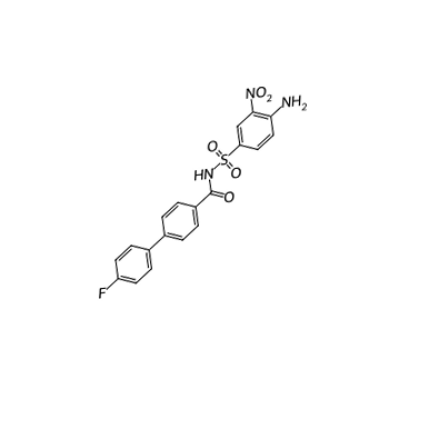 Nc1ccc(S(=O)(=O)NC(=O)c2ccc(-c3ccc(F)cc3)cc2)cc1[N+](=O)[O-]